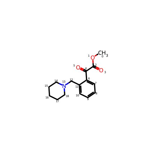 COC(=O)C(=O)c1ccccc1CN1CCCCC1